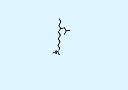 CCCC(CCCCCCNC)CC(C)C